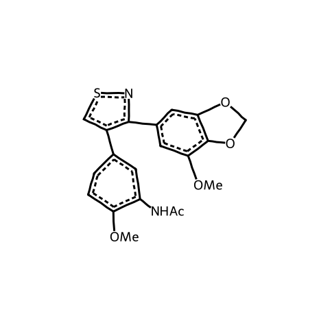 COc1ccc(-c2csnc2-c2cc(OC)c3c(c2)OCO3)cc1NC(C)=O